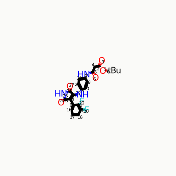 CC(C)(C)OC(=O)CC(=O)Nc1ccc(NC2=C(c3cccc(F)c3F)C(=O)NC2=O)cc1